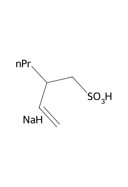 C=CC(CCC)CS(=O)(=O)O.[NaH]